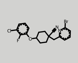 N#CC1(Cc2cccc(Br)n2)CCC(Oc2cccc(Cl)c2F)CC1